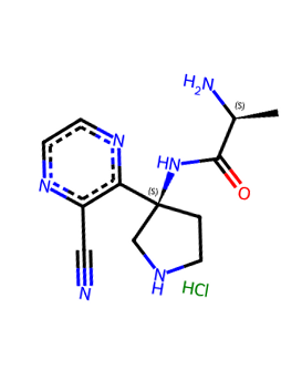 C[C@H](N)C(=O)N[C@@]1(c2nccnc2C#N)CCNC1.Cl